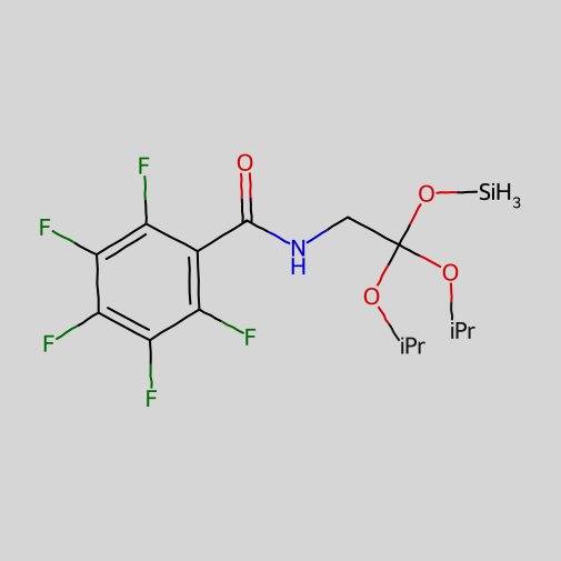 CC(C)OC(CNC(=O)c1c(F)c(F)c(F)c(F)c1F)(O[SiH3])OC(C)C